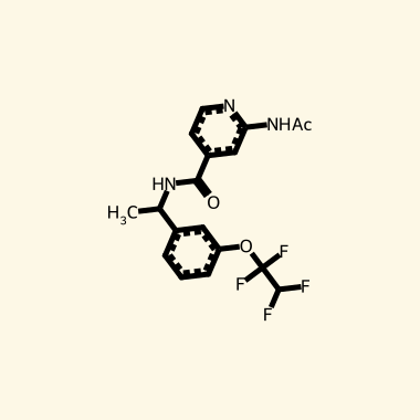 CC(=O)Nc1cc(C(=O)NC(C)c2cccc(OC(F)(F)C(F)F)c2)ccn1